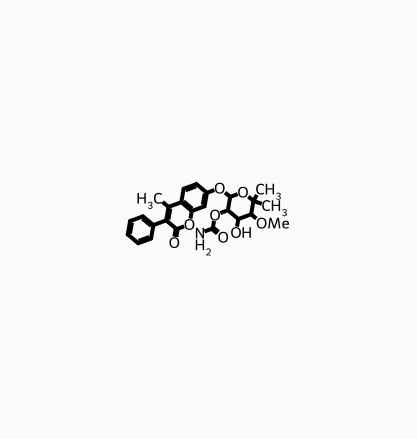 COC1C(O)C(OC(N)=O)C(Oc2ccc3c(C)c(-c4ccccc4)c(=O)oc3c2)OC1(C)C